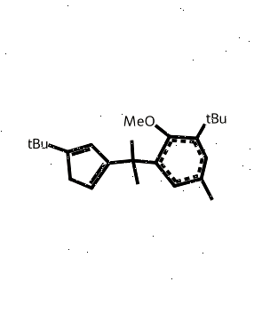 COc1c(C(C)(C)C)cc(C)cc1C(C)(C)C1=CCC(C(C)(C)C)=C1